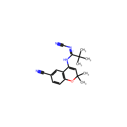 CC1(C)C=C(N/C(=N\C#N)C(C)(C)C)c2cc(C#N)ccc2O1